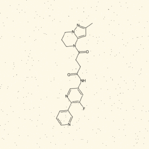 Cc1cc2n(n1)CCCN2C(=O)CCC(=O)Nc1cnc(-c2cccnc2)c(F)c1